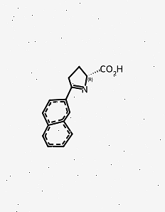 O=C(O)[C@H]1CCC(c2ccc3ccccc3c2)=N1